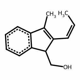 C/C=C\C1=C(C)c2ccccc2C1CO